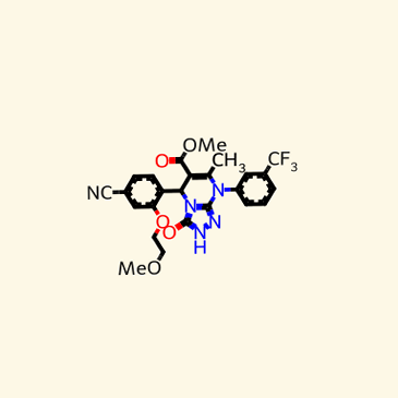 COCCOc1cc(C#N)ccc1C1C(C(=O)OC)=C(C)N(c2cccc(C(F)(F)F)c2)c2n[nH]c(=O)n21